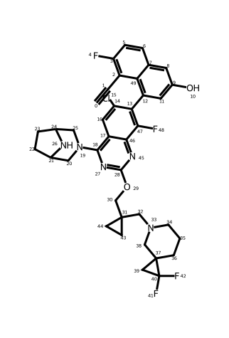 C#Cc1c(F)ccc2cc(O)cc(-c3c(Cl)cc4c(N5CC6CCC(C5)N6)nc(OCC5(CN6CCCC7(C6)CC7(F)F)CC5)nc4c3F)c12